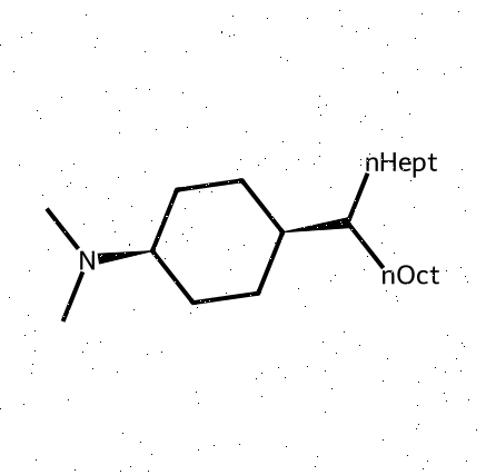 CCCCCCCCC(CCCCCCC)[C@H]1CC[C@@H](N(C)C)CC1